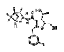 CC1[C@@H](NC(=O)C2[C@H]([C@H](C)O)[C@H](CO)ON2Cc2cccc(I)c2)C[C@H]2C[C@@H]1C2(C)C